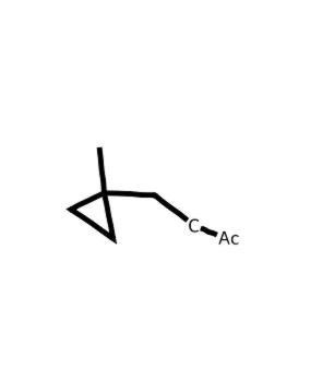 CC(=O)CCC1(C)CC1